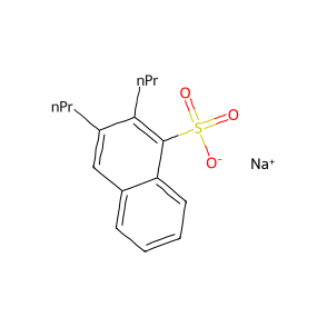 CCCc1cc2ccccc2c(S(=O)(=O)[O-])c1CCC.[Na+]